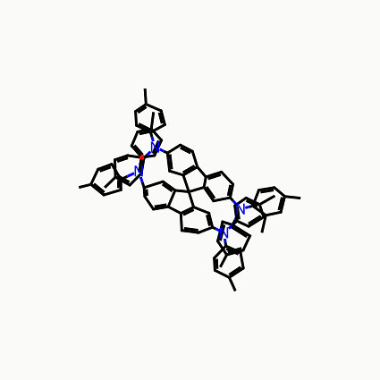 CC1=CC(C)C(N(c2ccc(C)cc2)c2ccc3c(c2)C2(c4cc(N(c5ccc(C)cc5)c5ccc(C)cc5)ccc4-c4ccc(N(c5ccc(C)cc5)c5ccc(C)cc5)cc42)c2cc(N(c4ccc(C)cc4)c4ccc(C)cc4)ccc2-3)C=C1